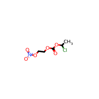 CC(Cl)OC(=O)OCCO[N+](=O)[O-]